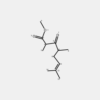 COC(=O)C(C)C(=O)C(C)CC=C(C)C